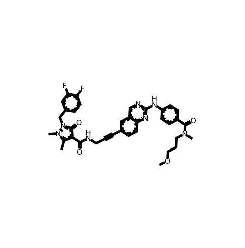 COCCCN(C)C(=O)c1ccc(Nc2ncc3cc(C#CCNC(=O)c4c(C)n(C)n(Cc5ccc(F)c(F)c5)c4=O)ccc3n2)cc1